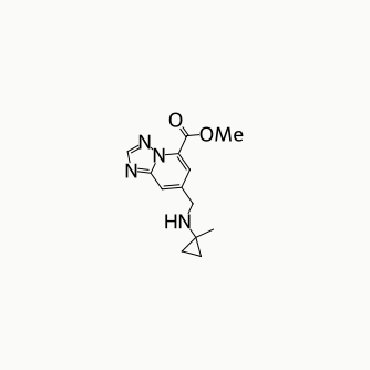 COC(=O)c1cc(CNC2(C)CC2)cc2ncnn12